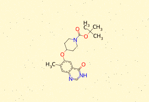 Cc1cc2nc[nH]c(=O)c2cc1OC1CCN(C(=O)OC(C)(C)C)CC1